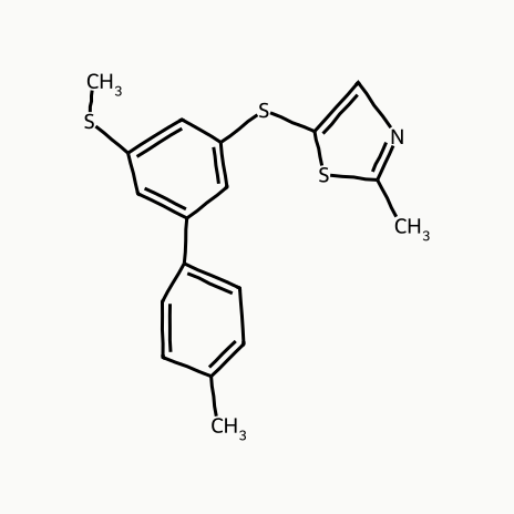 CSc1cc(Sc2cnc(C)s2)cc(-c2ccc(C)cc2)c1